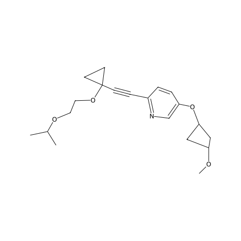 COC1CC(Oc2ccc(C#CC3(OCCOC(C)C)CC3)nc2)C1